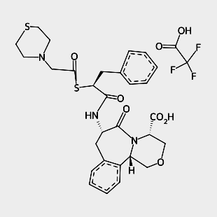 O=C(CN1CCSCC1)S[C@@H](Cc1ccccc1)C(=O)N[C@H]1Cc2ccccc2[C@H]2COC[C@@H](C(=O)O)N2C1=O.O=C(O)C(F)(F)F